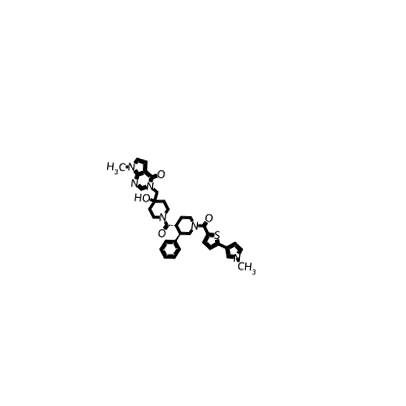 Cn1ccc(-c2ccc(C(=O)N3CC[C@@H](C(=O)N4CCC(O)(Cn5cnc6c(ccn6C)c5=O)CC4)[C@H](c4ccccc4)C3)s2)c1